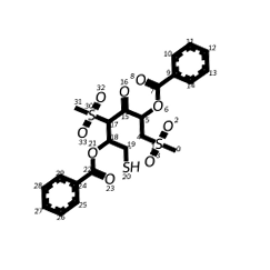 CS(=O)(=O)CC(OC(=O)c1ccccc1)C(=O)C(C([CH]S)OC(=O)c1ccccc1)S(C)(=O)=O